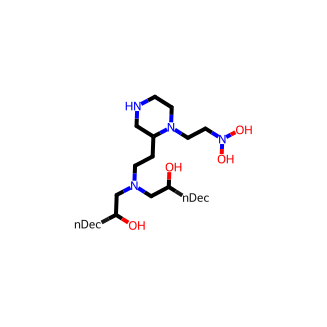 CCCCCCCCCCC(O)CN(CCC1CNCCN1CCN(O)O)CC(O)CCCCCCCCCC